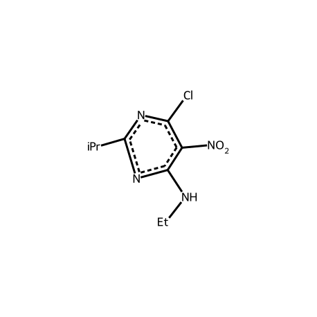 CCNc1nc(C(C)C)nc(Cl)c1[N+](=O)[O-]